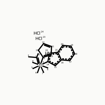 C[C](C)=[Zr]([CH3])([CH3])([CH3])([CH3])([CH3])([C]1=CC=CC1)[c]1cc2ccccc2[nH]1.Cl.Cl